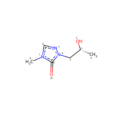 C[C@@H](O)Cn1ncn(C)c1=O